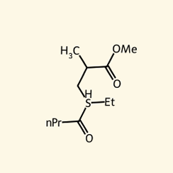 CCCC(=O)[SH](CC)CC(C)C(=O)OC